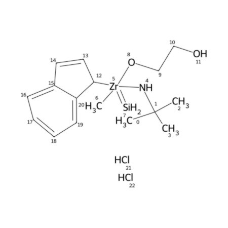 CC(C)(C)[NH][Zr]([CH3])(=[SiH2])([O]CCO)[CH]1C=Cc2ccccc21.Cl.Cl